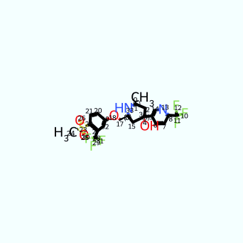 C[C@H]1C[C@@](O)(c2ccc(C(F)(F)F)nc2)C[C@@H](COc2ccc(S(C)(=O)=O)c(C(F)(F)F)c2)N1